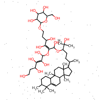 CC(CCC(OC(O)/C(OC(O)/C(O)=C(\O)C(O)CCO)=C(/O)C(O)CCOC1OC(CO)C(O)C(O)C1O)C(C)(C)O)C1CCC2(C)C3CC=C4C(CCC(C)C4(C)C)C3(C)CCC12C